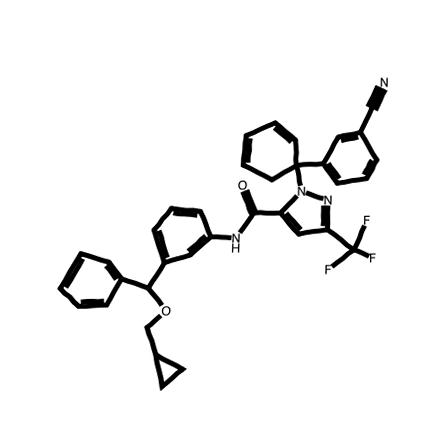 N#Cc1cccc(C2(n3nc(C(F)(F)F)cc3C(=O)Nc3cccc(C(OCC4CC4)c4ccccc4)c3)C=CC=CC2)c1